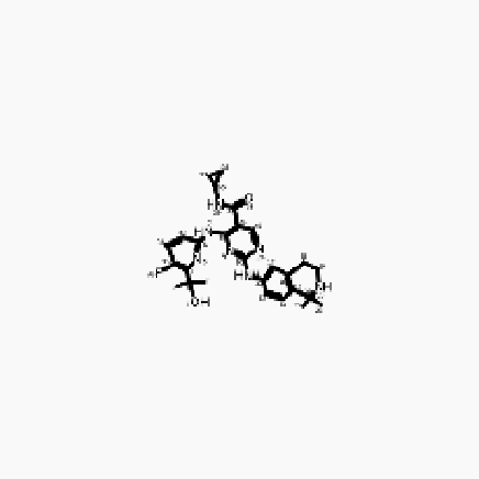 CC(C)(O)c1nc(Nc2nc(Nc3ccc4c(c3)CCNC4(C)C)ncc2C(=O)NC2CC2)ccc1F